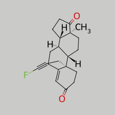 C[C@]12CC[C@H]3[C@@H](CCC4=CC(=O)CC[C@@]43CC#CF)[C@@H]1CCC2=O